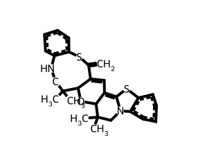 C=C1Sc2ccccc2NCC(C)(C)C2OC3C(=C4Sc5ccccc5N4CC3(C)C)C=C12